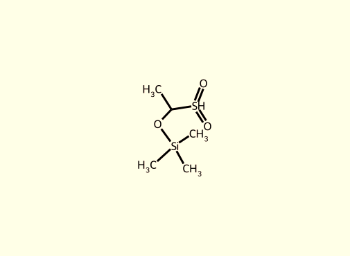 CC(O[Si](C)(C)C)[SH](=O)=O